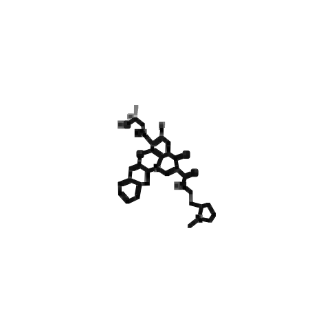 C[C@@H](O)CNc1c(F)cc2c(=O)c(C(=O)NCCC3CCCN3C)cn3c2c1Oc1cc2ccccc2cc1-3